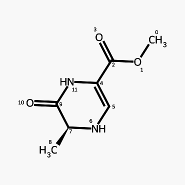 COC(=O)C1=CN[C@@H](C)C(=O)N1